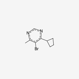 Cc1ncnc(C2CCC2)c1Br